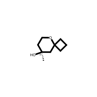 C[C@]1(O)CCOC2(CCC2)C1